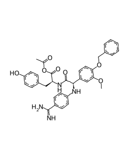 COc1cc([C@@H](Nc2ccc(C(=N)N)cc2)C(=O)N[C@@H](Cc2ccc(O)cc2)C(=O)OC(C)=O)ccc1OCc1ccccc1